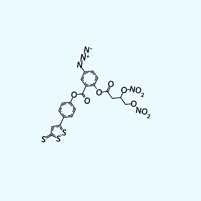 [N-]=[N+]=Nc1ccc(OC(=O)CC(CO[N+](=O)[O-])O[N+](=O)[O-])c(C(=O)Oc2ccc(-c3cc(=S)ss3)cc2)c1